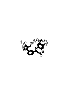 Cc1noc(-c2cccc(C3=Nc4cc(N(C)C)c(Cl)cc4NC(=O)C3)c2)c1CO